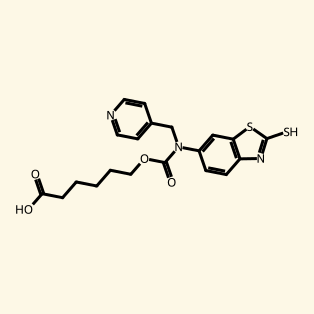 O=C(O)CCCCCOC(=O)N(Cc1ccncc1)c1ccc2nc(S)sc2c1